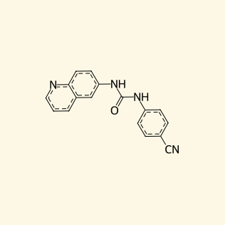 N#Cc1ccc(NC(=O)Nc2ccc3ncccc3c2)cc1